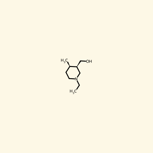 CCN1CC[C@@H](C)[C@@H](CO)C1